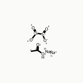 CC(=O)O.O=S([O-])S(=O)[O-].[Na+].[Na+]